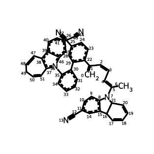 C=C(/C=C\C=C(/C)N1c2ccc(C#N)cc2C2C=CC=CC21)c1ccc(C#N)cc1-c1ccccc1-n1c2c(c3ccc(C#N)cc31)C=CCC=C2